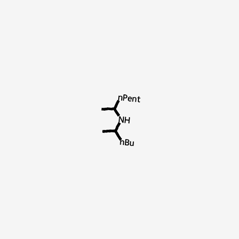 CCCCCC(C)NC(C)CCCC